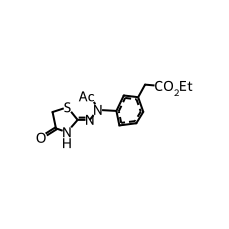 CCOC(=O)Cc1cccc(N(N=C2NC(=O)CS2)C(C)=O)c1